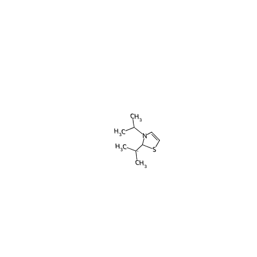 C[C](C)C1SC=CN1C(C)C